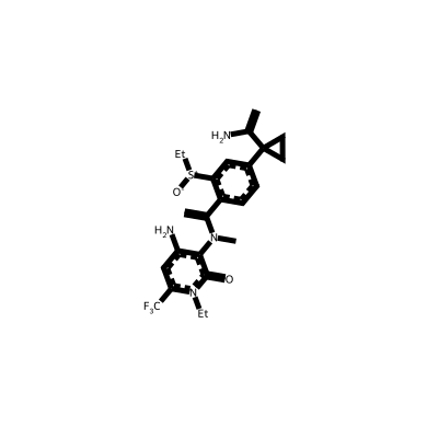 C=C(c1ccc(C2(C(=C)N)CC2)cc1[S+]([O-])CC)N(C)c1c(N)cc(C(F)(F)F)n(CC)c1=O